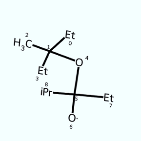 CCC(C)(CC)OC([O])(CC)C(C)C